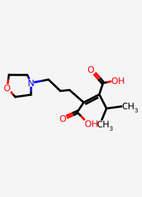 CC(C)/C(C(=O)O)=C(/CCCN1CCOCC1)C(=O)O